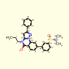 CCCn1c(=O)c2ccc(-c3cccc([S+]([O-])N(C)C)c3)cc2n2nc(-c3ccccc3)cc12